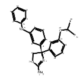 NC1=N[C@@](c2cccc(Nc3ccccc3)c2)(c2cccc(OC(F)F)c2)CO1